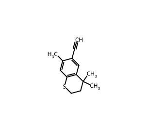 C#Cc1cc2c(cc1C)SCCC2(C)C